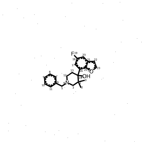 CC1(C)CN(Cc2ccccc2)CCC1(O)c1cc(F)cc2ccoc12